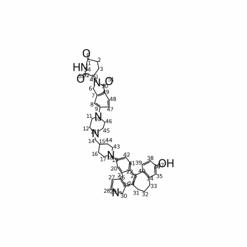 O=C1CC[C@H](N2Cc3cc(N4CCN(CC5CCN(c6ccc(C7=C(c8cccnc8)CCCc8cc(O)ccc87)cc6)CC5)CC4)ccc3C2=O)C(=O)N1